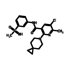 Cc1nc(N2CCC3(CC2)CC3)c(C(=O)Nc2cccc(S(C)(=N)=O)c2)cc1Cl